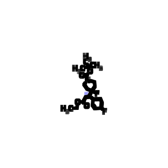 CCOC(=O)/C=C(\c1ccc(F)cc1)C1(F)CCN(C(=O)OC(C)(C)C)CC1